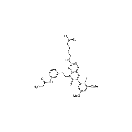 C=CC(=O)Nc1cccc(CCn2c(=O)c(-c3cc(OC)cc(OC)c3F)cc3cnc(NCCCCN(CC)CC)nc32)c1